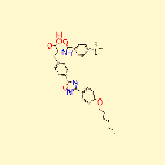 CCCCCCCOc1ccc(-c2noc(-c3ccc(CC(NC(=O)c4ccc(C(C)(C)C)cc4)C(=O)O)cc3)n2)cc1